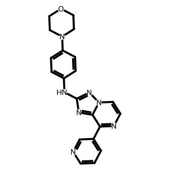 c1cncc(-c2nccn3nc(Nc4ccc(N5CCOCC5)cc4)nc23)c1